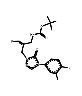 Cc1cc(-n2cnn(C/C(=C\F)CNC(=O)OC(C)(C)C)c2=O)ccc1Br